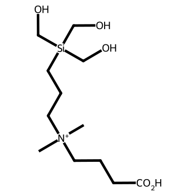 C[N+](C)(CCCC(=O)O)CCC[Si](CO)(CO)CO